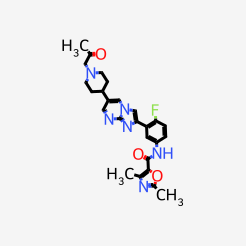 CC(=O)CN1CCC(c2cnc3nc(-c4cc(NC(=O)c5oc(C)nc5C)ccc4F)cn3c2)CC1